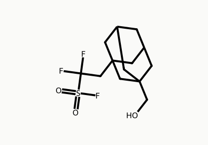 O=S(=O)(F)C(F)(F)CC12CC3CC(CC(CO)(C3)C1)C2